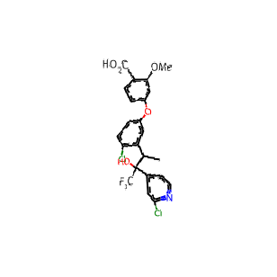 COc1cc(Oc2ccc(Cl)c(C(C)C(O)(c3ccnc(Cl)c3)C(F)(F)F)c2)ccc1C(=O)O